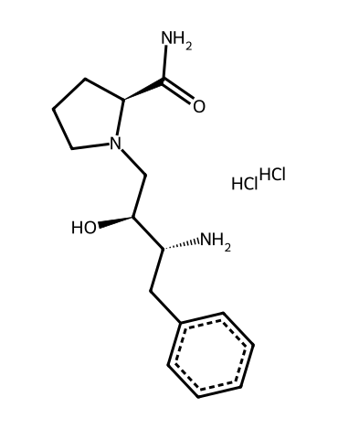 Cl.Cl.NC(=O)[C@@H]1CCCN1C[C@H](O)[C@H](N)Cc1ccccc1